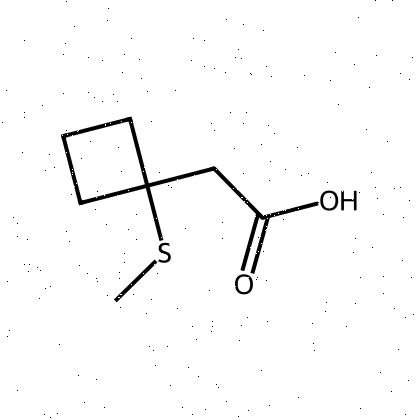 CSC1(CC(=O)O)CCC1